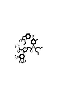 CCCC(CCC)N(C(=O)CN1C[C@H](c2cc(OC)c3c(c2)OCO3)[C@@H](C(=O)O)[C@@H]1CCN1C(=O)Cc2ccccc21)c1ccc(F)c(C)c1